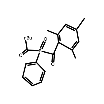 CCCCC(=O)P(=O)(C(=O)c1c(C)cc(C)cc1C)c1ccccc1